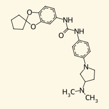 CN(C)C1CCN(c2ccc(NC(=O)Nc3ccc4c(c3)OC3(CCCC3)O4)cc2)C1